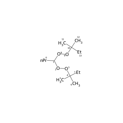 CCCC(OOC(C)(C)CC)OOC(C)(C)CC